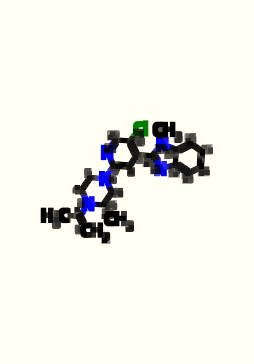 C=C(C)N1CCN(c2cc(-c3nc4ccccc4n3C)c(Cl)cn2)C[C@@H]1C